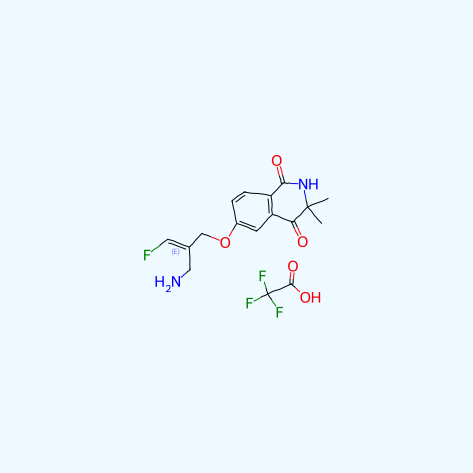 CC1(C)NC(=O)c2ccc(OC/C(=C/F)CN)cc2C1=O.O=C(O)C(F)(F)F